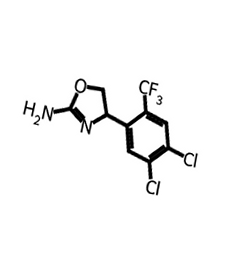 NC1=NC(c2cc(Cl)c(Cl)cc2C(F)(F)F)CO1